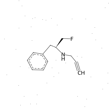 C#CCN[C@H](CF)Cc1ccccc1